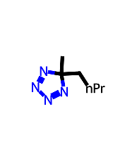 CCCCC1(C)N=NN=N1